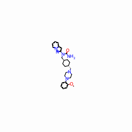 COc1ccccc1N1CCN(C[C@H]2CC[C@H](CN(C(N)=O)c3cc4ccccn4n3)CC2)CC1